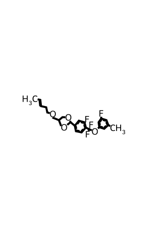 C/C=C/CCOCC1COC(c2ccc(C(F)(F)Oc3cc(C)cc(F)c3)c(F)c2)OC1